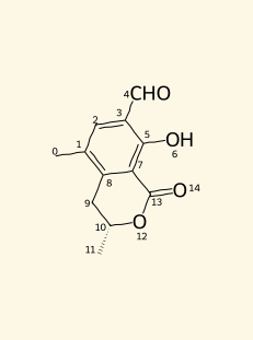 Cc1cc(C=O)c(O)c2c1C[C@@H](C)OC2=O